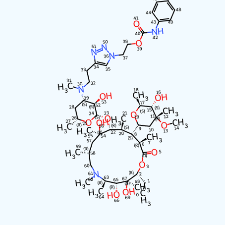 CC[C@H]1OC(=O)[C@H](C)[C@@H](C2C[C@@](C)(OC)[C@@H](O)[C@H](C)O2)[C@H](C)[C@@H](O[C@@H]2O[C@H](C)C[C@H](N(C)CCc3cn(CCOC(=O)Nc4ccc(F)cc4)nn3)[C@H]2O)[C@](C)(O)C[C@@H](C)CN(C)[C@H](C)[C@@H](O)[C@]1(C)O